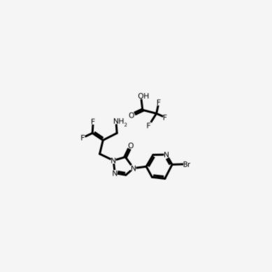 NCC(Cn1ncn(-c2ccc(Br)nc2)c1=O)=C(F)F.O=C(O)C(F)(F)F